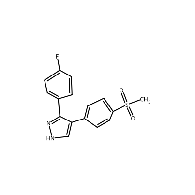 CS(=O)(=O)c1ccc(-c2c[nH]nc2-c2ccc(F)cc2)cc1